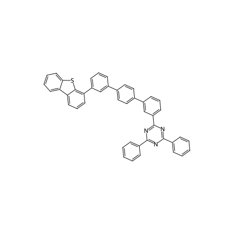 c1ccc(-c2nc(-c3ccccc3)nc(-c3cccc(-c4ccc(-c5cccc(-c6cccc7c6sc6ccccc67)c5)cc4)c3)n2)cc1